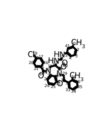 Cc1cccc(NC(=O)NC2CN(C(=O)c3ccc(Cl)cc3)c3ccccc3N(CC(=O)c3ccccc3C)C2=O)c1